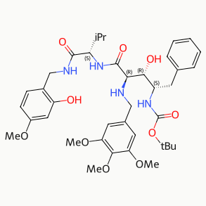 COc1ccc(CNC(=O)[C@@H](NC(=O)[C@H](NCc2cc(OC)c(OC)c(OC)c2)[C@H](O)[C@H](Cc2ccccc2)NC(=O)OC(C)(C)C)C(C)C)c(O)c1